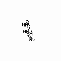 O=C(Nc1ccc(Cc2nc3ccccc3[nH]2)cc1)c1ccc(-c2nc3ccccc3[nH]2)cc1